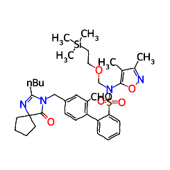 CCCCC1=NC2(CCCC2)C(=O)N1Cc1ccc(-c2ccccc2S(=O)(=O)N(COCC[Si](C)(C)C)c2onc(C)c2C)c(C=O)c1